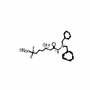 CCCCCCCCCC(F)(F)CCC[C@H](O)CC(=O)[C@H](C)N(Cc1ccccc1)Cc1ccccc1